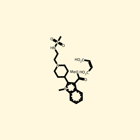 COC(=O)c1c(C2CCN(CCNS(C)(=O)=O)CC2)n(C)c2ccccc12.O=C(O)/C=C\C(=O)O